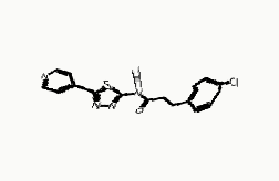 O=C(CCc1ccc(Cl)cc1)Nc1nnc(-c2ccncc2)s1